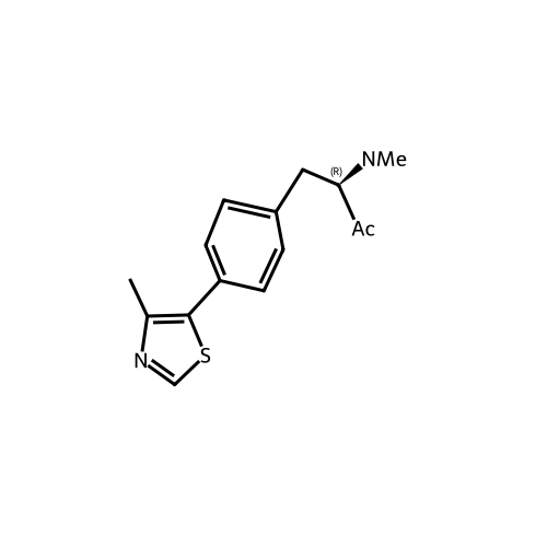 CN[C@H](Cc1ccc(-c2scnc2C)cc1)C(C)=O